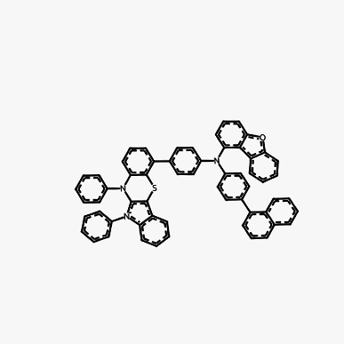 c1ccc(N2c3cccc(-c4ccc(N(c5ccc(-c6cccc7ccccc67)cc5)c5cccc6oc7ccccc7c56)cc4)c3Sc3c2n(-c2ccccc2)c2ccccc32)cc1